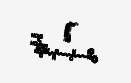 O=C(O)CCC(NC(=O)NC(CCCCNC(=O)CCCCCCC(=O)NCCCCCCNC(c1ccccn1)c1ccccn1)C(=O)O)C(=O)O.[Br-].[Br-].[Br-].[Br-].[Br-].[Br-].[Br-].[C]=O.[C]=O.[C]=O.[Re+7]